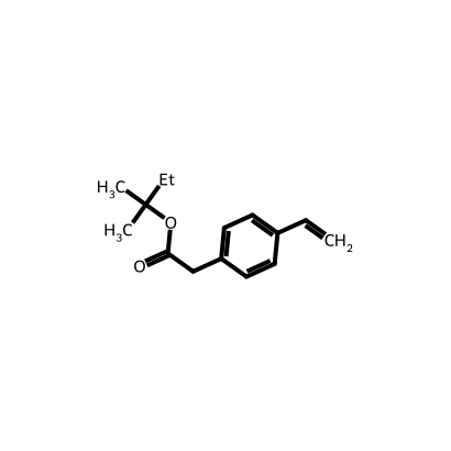 C=Cc1ccc(CC(=O)OC(C)(C)CC)cc1